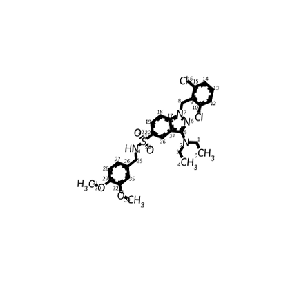 CCN(CC)c1nn(Cc2c(Cl)cccc2Cl)c2ccc(S(=O)(=O)NCc3ccc(OC)c(OC)c3)cc12